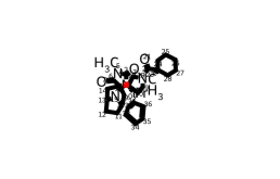 CC(C)N1C(=O)N(C)C(=O)C12CC1CCC(C2)N1C[C@H]1CN(C(=O)C2(C)CCCCC2)C[C@@H]1c1ccccc1